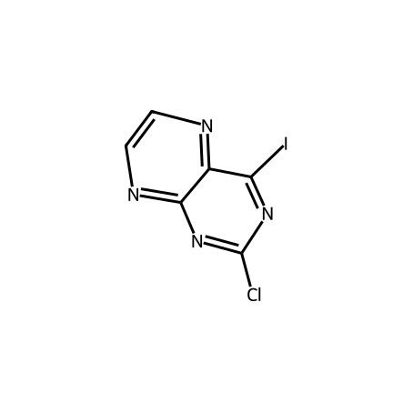 Clc1nc(I)c2nccnc2n1